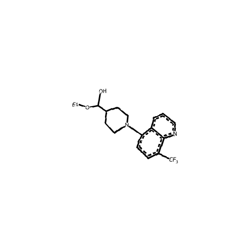 CCOC(O)C1CCN(c2ccc(C(F)(F)F)c3ncccc23)CC1